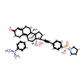 CN(C)c1ccc([C@H]2C[C@@]3(C)[C@@H](CC[C@@]3(O)C#Cc3ccc(S(=O)(=O)N4CCCC4)cc3)[C@@H]3CCC4=CC(=O)CCC4=C32)cc1